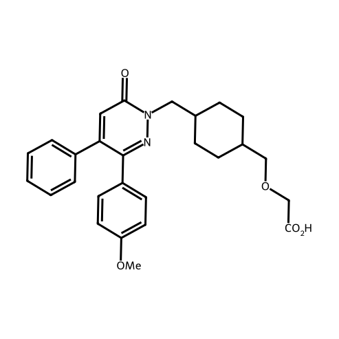 COc1ccc(-c2nn(CC3CCC(COCC(=O)O)CC3)c(=O)cc2-c2ccccc2)cc1